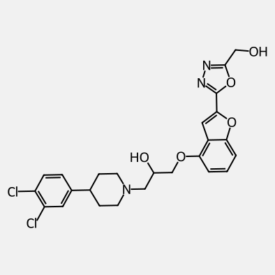 OCc1nnc(-c2cc3c(OCC(O)CN4CCC(c5ccc(Cl)c(Cl)c5)CC4)cccc3o2)o1